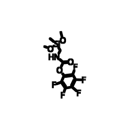 CO[Si](C)(CNC(=O)Oc1c(F)c(F)c(F)c(F)c1F)OC